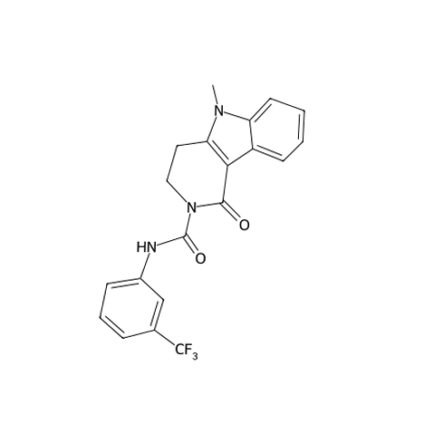 Cn1c2c(c3ccccc31)C(=O)N(C(=O)Nc1cccc(C(F)(F)F)c1)CC2